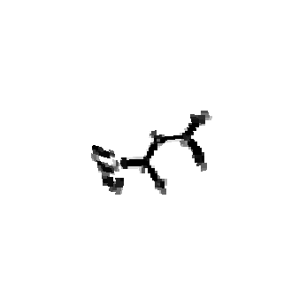 O.O=S([O-])OS(=O)[O-].[Na+].[Na+]